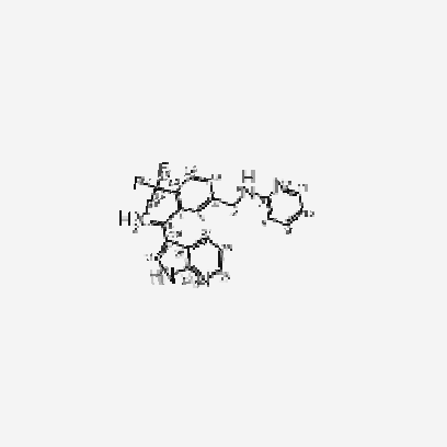 C=C(c1cc(CNc2ccccn2)ccc1C(F)(F)F)c1c[nH]c2ncccc12